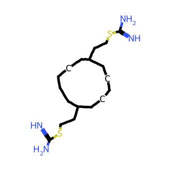 N=C(N)SCCC1CCCCCC(CCSC(=N)N)CCCCC1